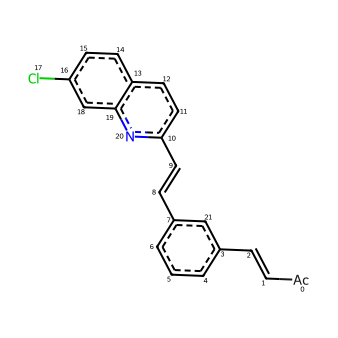 CC(=O)C=Cc1cccc(C=Cc2ccc3ccc(Cl)cc3n2)c1